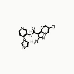 Nc1nn2cc(Cl)cnc2c1C(=O)Nc1cnccc1-n1ccnc1